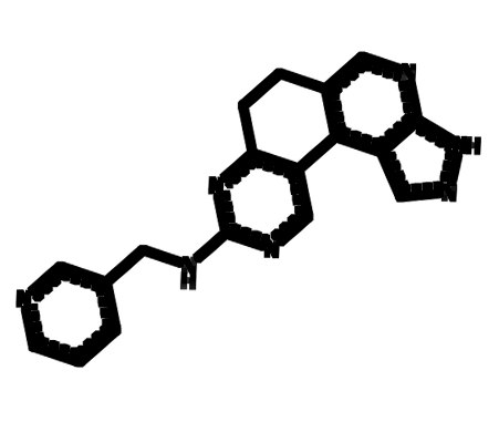 c1cncc(CNc2ncc3c(n2)CCc2cnc4[nH]ncc4c2-3)c1